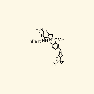 CCCCCNc1nc(N)nc2ccn(Cc3ccc(CN4CC(C5(NC(C)C)CC5)C4)cc3OC)c12